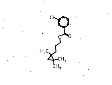 CC1(C)CC1(C)CCCOC(=O)c1[c]ccc(Cl)c1